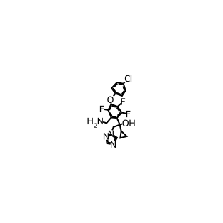 NCc1c(F)c(Oc2ccc(Cl)cc2)c(F)c(F)c1C(O)(Cn1cncn1)C1CC1